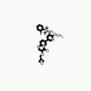 COc1ncc(-c2ccc3ncc(OCC4COC4)c(=O)n3c2)cc1NS(=O)(=O)c1ccccc1F